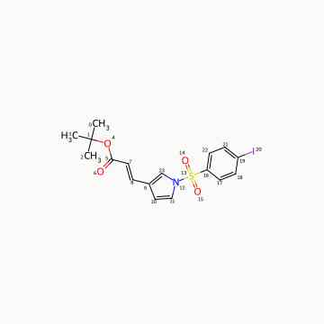 CC(C)(C)OC(=O)C=Cc1ccn(S(=O)(=O)c2ccc(I)cc2)c1